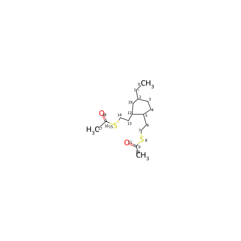 C[CH]C1CCC(CCSC(C)=O)C(CCSC(C)=O)C1